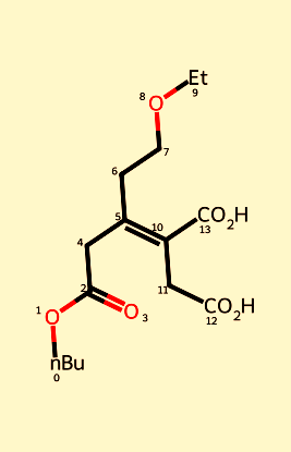 CCCCOC(=O)CC(CCOCC)=C(CC(=O)O)C(=O)O